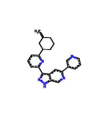 C=C1CCCC(c2cccc(-c3n[nH]c4cnc(-c5cccnc5)cc34)n2)C1